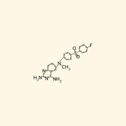 CN(Cc1ccc(S(=O)(=O)c2ccc(F)cc2)cc1)c1ccc2nc(N)nc(N)c2c1